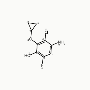 Nc1cc(F)c(O)c(OC2CC2)c1Cl